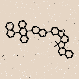 CC1(C)c2ccc3ccccc3c2-c2ccc3oc4ccc(-c5ccc6cc(-c7c8ccccc8c(-c8cccc9ccccc89)c8ccccc78)ccc6c5)cc4c3c21